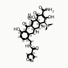 CN(C)[C@@H]1C(O)=C(C(N)=O)C(=O)[C@@]2(O)C(O)=C3C(=O)c4c(O)ccc(CNC(=O)c5cnoc5)c4C[C@@H]3C[C@H]12